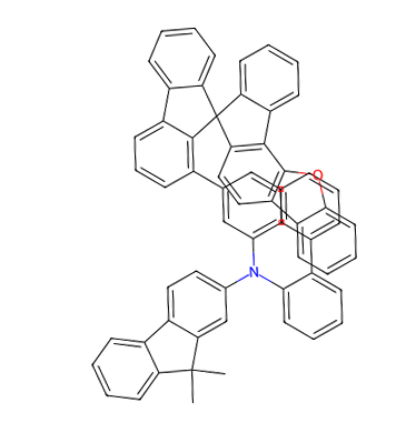 CC1(C)c2ccccc2-c2ccc(N(c3cccc(-c4cccc5c4C4(c6ccccc6-5)c5ccccc5-c5c4ccc4c5oc5ccccc54)c3)c3ccccc3-c3ccccc3)cc21